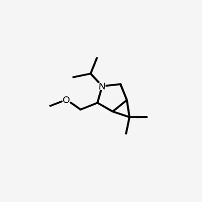 COCC1C2C(CN1C(C)C)C2(C)C